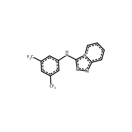 FC(F)(F)c1cc(Nc2nnc3ccccn23)cc(C(F)(F)F)c1